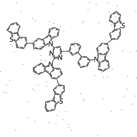 c1cc(-c2cccc(-n3c4ccccc4c4cc(-c5ccc6sc7ccccc7c6c5)ccc43)c2)cc(-c2cc(-n3c4ccccc4c4cc(-c5ccc6sc7ccccc7c6c5)ccc43)nc(-n3c4ccccc4c4cc(-c5ccc6sc7ccccc7c6c5)ccc43)n2)c1